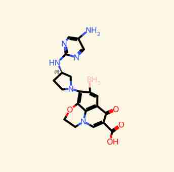 Bc1cc2c(=O)c(C(=O)O)cn3c2c(c1N1CC[C@@H](Nc2ncc(N)cn2)C1)OCC3